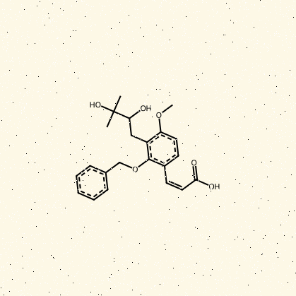 COc1ccc(/C=C\C(=O)O)c(OCc2ccccc2)c1CC(O)C(C)(C)O